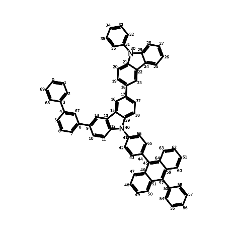 c1ccc(-c2cccc(-c3ccc4c(c3)c3cc(-c5ccc6c(c5)c5ccccc5n6-c5ccccc5)ccc3n4-c3ccc(-c4c5ccccc5c(-c5ccccc5)c5ccccc45)cc3)c2)cc1